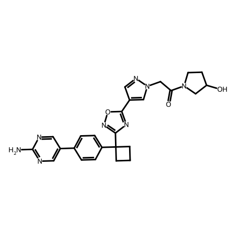 Nc1ncc(-c2ccc(C3(c4noc(-c5cnn(CC(=O)N6CCC(O)C6)c5)n4)CCC3)cc2)cn1